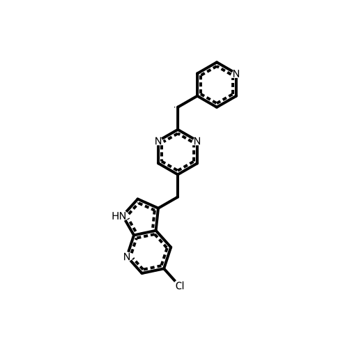 Clc1cnc2[nH]cc(Cc3cnc([CH]c4ccncc4)nc3)c2c1